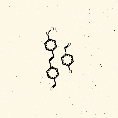 COc1ccc(/C=C/c2ccc(C=O)cc2)cc1.O=Cc1ccc(Cl)cc1